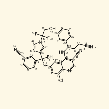 BC(Nc1cc(Cl)c2ncc(C#N)c(N[C@H](CCC#N)c3ccccc3)c2c1)(c1cccc(C#N)c1)c1cn(C(F)(F)CO)nn1